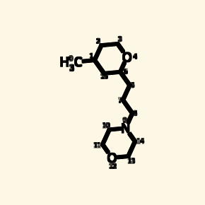 CC1CCOC(CCCN2CCOCC2)C1